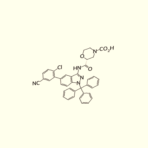 N#Cc1ccc(Cl)c(-c2ccc3c(c2)c(NC(=O)[C@H]2CN(C(=O)O)CCO2)nn3C(c2ccccc2)(c2ccccc2)c2ccccc2)c1